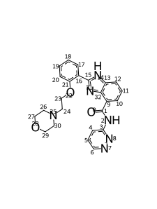 O=C(Nc1cccnn1)c1cccc2[nH]c(-c3ccccc3OCCN3CCOCC3)nc12